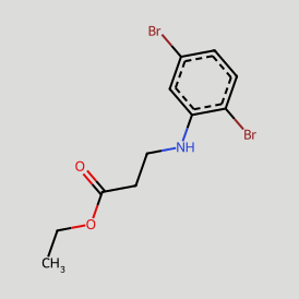 CCOC(=O)CCNc1cc(Br)ccc1Br